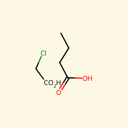 CCCC(=O)O.O=C(O)CCl